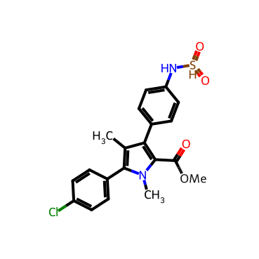 COC(=O)c1c(-c2ccc(N[SH](=O)=O)cc2)c(C)c(-c2ccc(Cl)cc2)n1C